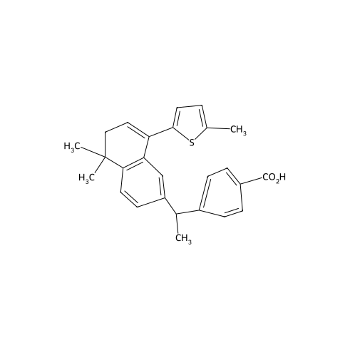 Cc1ccc(C2=CCC(C)(C)c3ccc(C(C)c4ccc(C(=O)O)cc4)cc32)s1